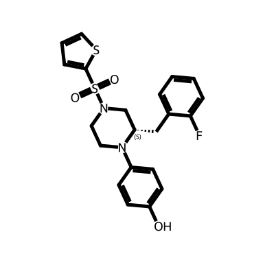 O=S(=O)(c1cccs1)N1CCN(c2ccc(O)cc2)[C@@H](Cc2ccccc2F)C1